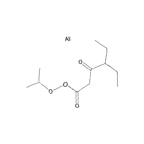 CCC(CC)C(=O)CC(=O)OOC(C)C.[Al]